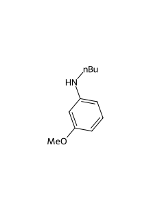 [CH2]CCCNc1cccc(OC)c1